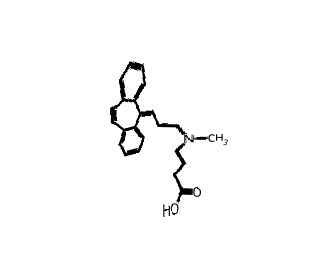 CN(CCC=C1c2ccccc2C=Cc2ccccc21)CCCC(=O)O